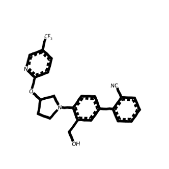 N#Cc1ccccc1-c1ccc(N2CCC(Oc3ccc(C(F)(F)F)cn3)C2)c(CO)c1